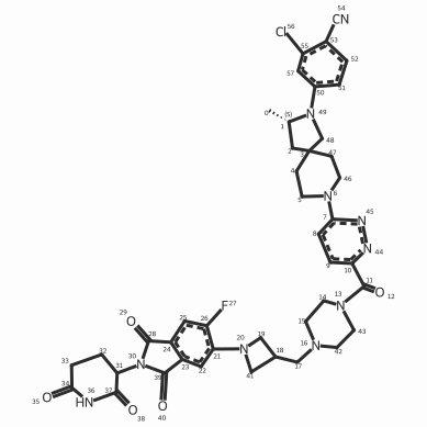 C[C@H]1CC2(CCN(c3ccc(C(=O)N4CCN(CC5CN(c6cc7c(cc6F)C(=O)N(C6CCC(=O)NC6=O)C7=O)C5)CC4)nn3)CC2)CN1c1ccc(C#N)c(Cl)c1